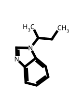 C[CH]C(C)n1cnc2ccccc21